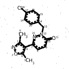 Cc1noc(C)c1-c1ccc(=O)n(Cc2ccc(Cl)cc2)n1